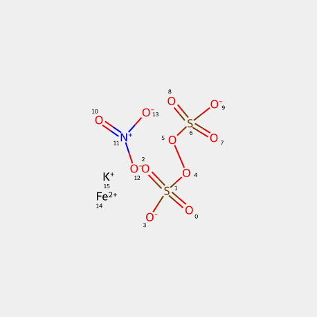 O=S(=O)([O-])OOS(=O)(=O)[O-].O=[N+]([O-])[O-].[Fe+2].[K+]